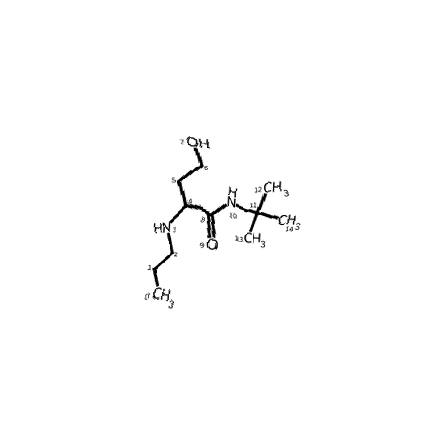 CCCNC(CCO)C(=O)NC(C)(C)C